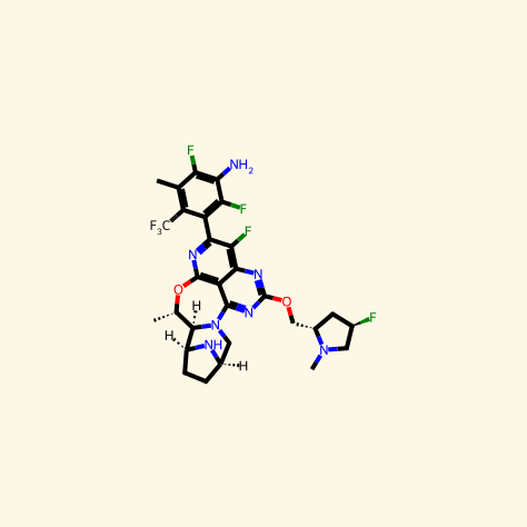 Cc1c(F)c(N)c(F)c(-c2nc3c4c(nc(OC[C@@H]5C[C@@H](F)CN5C)nc4c2F)N2C[C@H]4CC[C@H](N4)[C@H]2[C@H](C)O3)c1C(F)(F)F